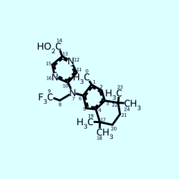 Cc1cc2c(cc1N(CC(F)(F)F)c1cnc(C(=O)O)cn1)C(C)(C)CCC2(C)C